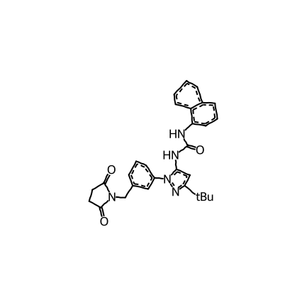 CC(C)(C)c1cc(NC(=O)Nc2cccc3ccccc23)n(-c2cccc(CN3C(=O)CCC3=O)c2)n1